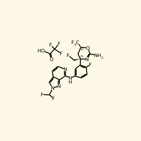 NC1=N[C@](CF)(c2cc(Nc3nccc4cn(C(F)F)nc34)ccc2F)C[C@@H](C(F)(F)F)O1.O=C(O)C(F)(F)F